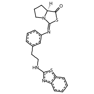 O=C1S/C(=N/c2cccc(CCNc3nc4ccccc4s3)c2)N2CCC[C@@H]12